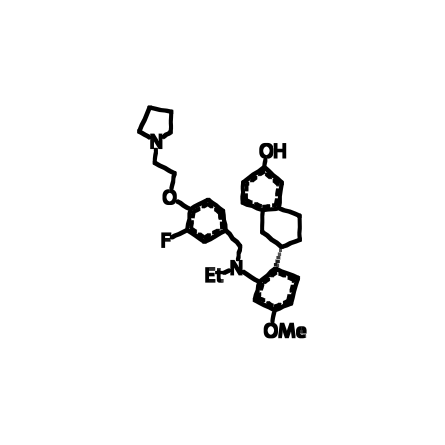 CCN(Cc1ccc(OCCN2CCCC2)c(F)c1)c1cc(OC)ccc1[C@H]1CCc2cc(O)ccc2C1